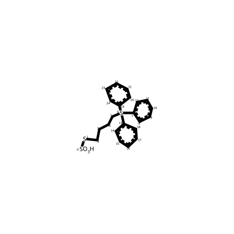 O=S(=O)(O)SCCCCS(c1ccccc1)(c1ccccc1)c1ccccc1